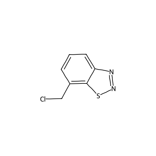 ClCc1cccc2nnsc12